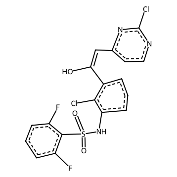 O=S(=O)(Nc1cccc(/C(O)=C\c2ccnc(Cl)n2)c1Cl)c1c(F)cccc1F